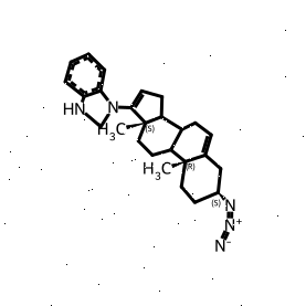 C[C@]12CC[C@H](N=[N+]=[N-])CC1=CCC1C2CC[C@]2(C)C(N3CNc4ccccc43)=CCC12